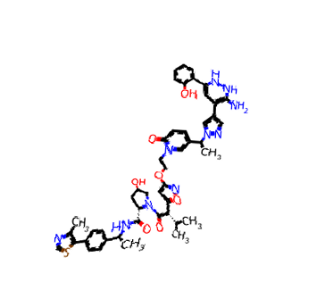 Cc1ncsc1-c1ccc([C@H](C)NC(=O)[C@@H]2C[C@@H](O)CN2C(=O)[C@H](c2cc(OCCn3cc(C(C)n4cc(C5=C(N)NNC(c6ccccc6O)=C5)cn4)ccc3=O)no2)C(C)C)cc1